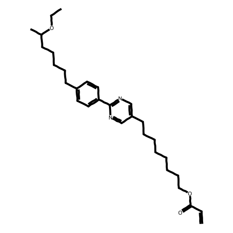 C=CC(=O)OCCCCCCCCc1cnc(-c2ccc(CCCCCC(C)OCC)cc2)nc1